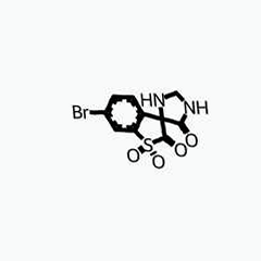 O=C1NCNC12C(=O)S(=O)(=O)c1cc(Br)ccc12